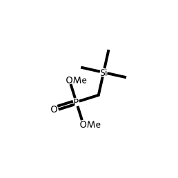 COP(=O)(C[Si](C)(C)C)OC